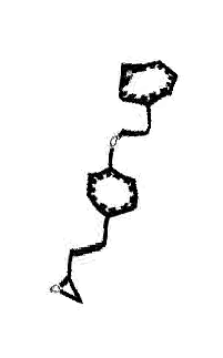 c1ccc(COc2ccc(CCC3CO3)cc2)cc1